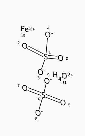 O=S(=O)([O-])[O-].O=S(=O)([O-])[O-].[Fe+2].[OH4+2]